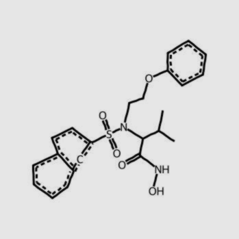 CC(C)C(C(=O)NO)N(CCOc1ccccc1)S(=O)(=O)c1ccc2ccccc2c1